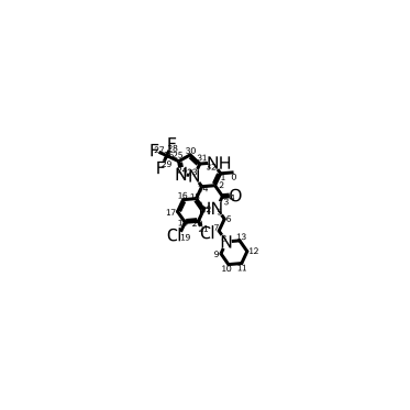 CC1=C(C(=O)NCCN2CCCCC2)C(c2ccc(Cl)c(Cl)c2)n2nc(C(F)(F)F)cc2N1